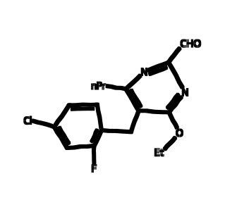 CCCc1nc(C=O)nc(OCC)c1Cc1ccc(Cl)cc1F